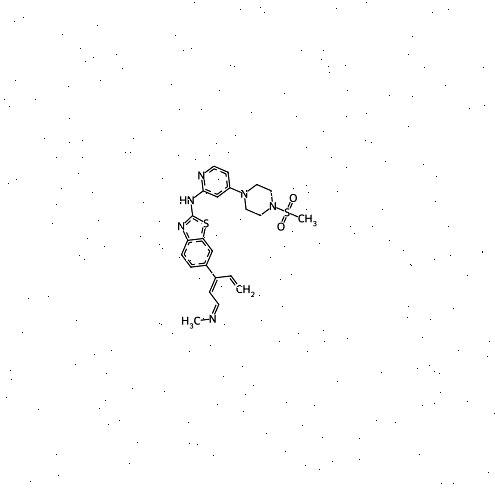 C=C/C(=C\C=N/C)c1ccc2nc(Nc3cc(N4CCN(S(C)(=O)=O)CC4)ccn3)sc2c1